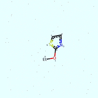 [CH2]COc1nccs1